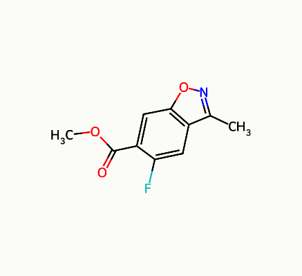 COC(=O)c1cc2onc(C)c2cc1F